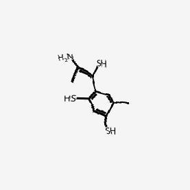 C/C(N)=C(/S)c1cc(C)c(S)cc1S